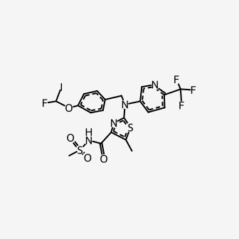 Cc1sc(N(Cc2ccc(OC(F)I)cc2)c2ccc(C(F)(F)F)nc2)nc1C(=O)NS(C)(=O)=O